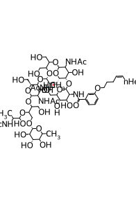 CCCCCC/C=C\CCCOc1cccc(C(=O)N[C@@H]2C(O[C@H]3C(O)C(NC(C)=O)[C@H](OC(CO)C(CO)O[C@@H](O[C@H]4C(O)C(NC(C)=O)C(OC(CO)C(CO[C@@H]5OC(C)C(O)[C@H](O)[C@H]5O)OC(O)[C@H](C)NC(C)=O)O[C@H]4CO)[C@H](C)NC(C)=O)O[C@H]3CO)OC(CO)[C@@H](O)C2O)c1